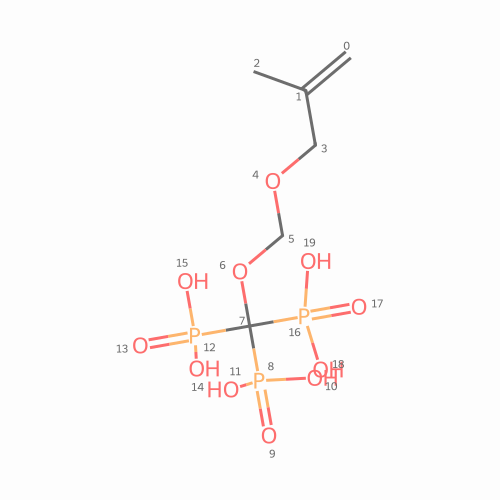 C=C(C)COCOC(P(=O)(O)O)(P(=O)(O)O)P(=O)(O)O